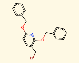 BrCc1ccc(OCc2ccccc2)nc1OCc1ccccc1